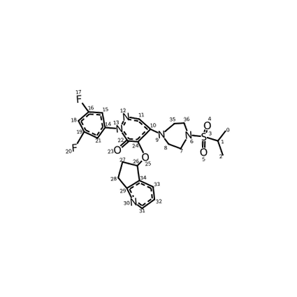 CC(C)S(=O)(=O)N1CCN(c2cnn(-c3cc(F)cc(F)c3)c(=O)c2OC2CCc3ncccc32)CC1